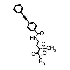 CC(=O)C(CCNC(=O)c1ccc(C#Cc2ccccc2)cc1)S(C)(=O)=O